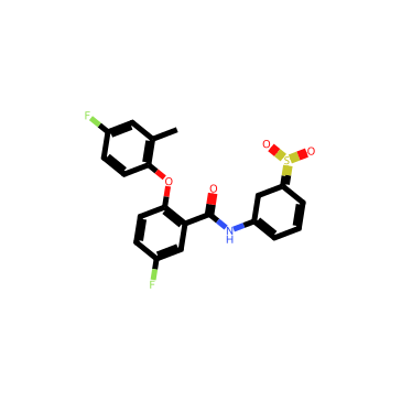 Cc1cc(F)ccc1Oc1ccc(F)cc1C(=O)NC1=CC=CC(=S(=O)=O)C1